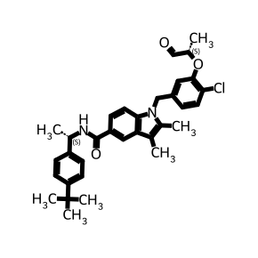 Cc1c(C)n(Cc2ccc(Cl)c(O[C@@H](C)C=O)c2)c2ccc(C(=O)N[C@@H](C)c3ccc(C(C)(C)C)cc3)cc12